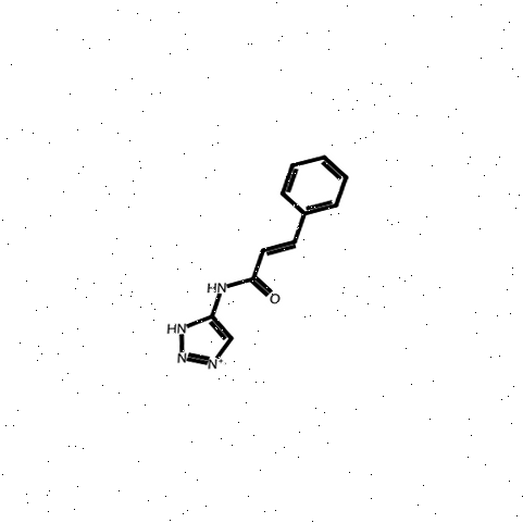 O=C(C=Cc1ccccc1)NC1=C[N+]=NN1